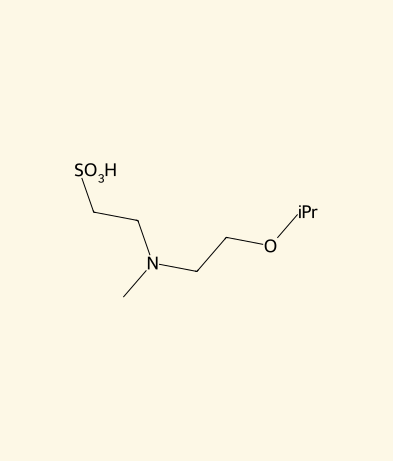 CC(C)OCCN(C)CCS(=O)(=O)O